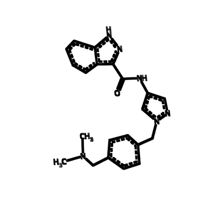 CN(C)Cc1ccc(Cn2cc(NC(=O)c3n[nH]c4ccccc34)cn2)cc1